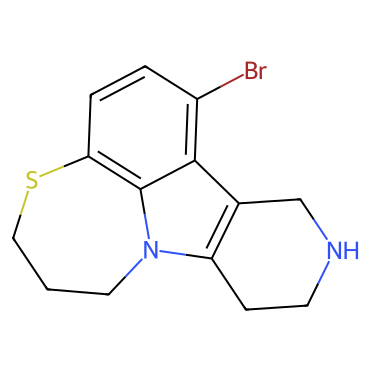 Brc1ccc2c3c1c1c(n3CCCS2)CCNC1